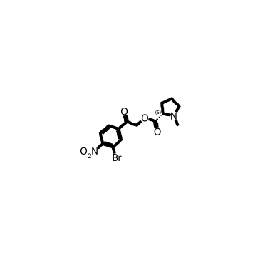 CN1CCC[C@H]1C(=O)OCC(=O)c1ccc([N+](=O)[O-])c(Br)c1